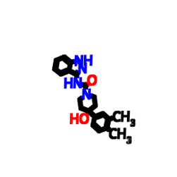 Cc1ccc(C2(O)CCN(C(=O)Nc3n[nH]c4ccccc34)CC2)cc1C